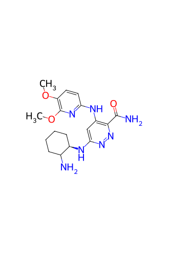 COc1ccc(Nc2cc(N[C@@H]3CCCCC3N)nnc2C(N)=O)nc1OC